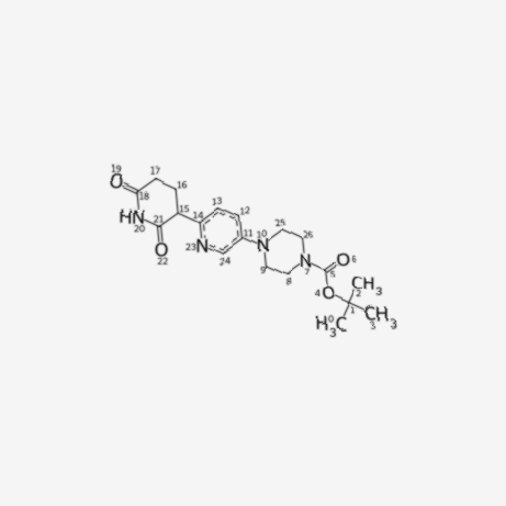 CC(C)(C)OC(=O)N1CCN(c2ccc(C3CCC(=O)NC3=O)nc2)CC1